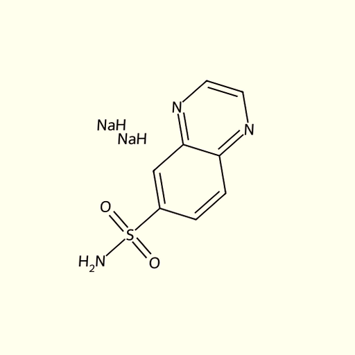 NS(=O)(=O)c1ccc2nccnc2c1.[NaH].[NaH]